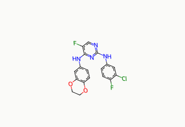 Fc1ccc(Nc2ncc(F)c(Nc3ccc4c(c3)OCCO4)n2)cc1Cl